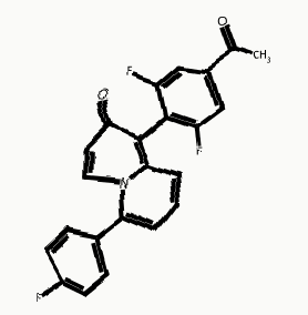 CC(=O)c1cc(F)c(-c2c(=O)ccn3c(-c4ccc(F)cc4)cccc23)c(F)c1